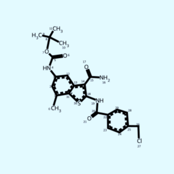 Cc1cc(NC(=O)OC(C)(C)C)cc2c(C(N)=O)c(NC(=O)c3ccc(CCl)cc3)sc12